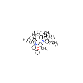 Cc1cc(N(C2=C3OC4=C(CCC=C4)C3CCC2)c2cccc(C(C)(C)C)c2)cc(N(c2ccc3c(c2)C(C)(C)CCC3(C)C)c2ccc3c(c2)C(C)(C)CCC3(C)C)c1